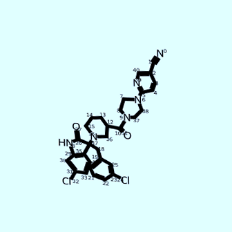 N#Cc1ccc(N2CCN(C(=O)C3CCCN(C4(Cc5cccc(Cl)c5)C(=O)Nc5cc(Cl)ccc54)C3)CC2)nc1